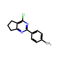 Cc1ccc(-c2nc(Cl)c3c(n2)CCC3)cc1